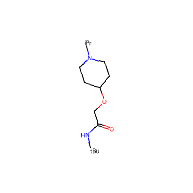 CC(C)N1CCC(OCC(=O)NC(C)(C)C)CC1